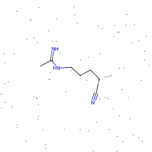 CC(=N)NCCC[C@H](C)C#N